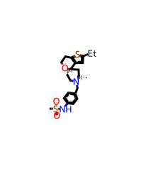 CCc1cc2c(s1)CCO[C@@]21CCN(Cc2ccc(NS(C)(=O)=O)cc2)[C@@H](C)C1